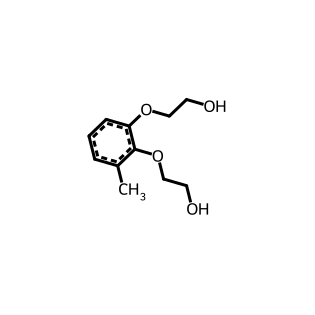 Cc1cccc(OCCO)c1OCCO